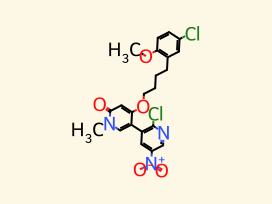 COc1ccc(Cl)cc1CCCCOc1cc(=O)n(C)cc1-c1cc([N+](=O)[O-])cnc1Cl